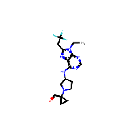 CCn1c(CC(F)(F)F)nc2c(NC3CCN(C4(C=O)CC4)C3)ncnc21